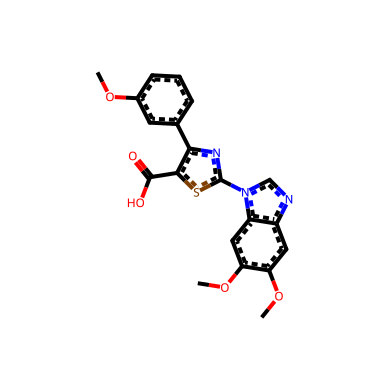 COc1cccc(-c2nc(-n3cnc4cc(OC)c(OC)cc43)sc2C(=O)O)c1